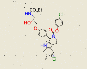 C=C/C(Cl)=C\c1c(C)[nH]c2c1CCN(C(=O)Oc1ccc(Cl)cc1)C2c1ccc(OCC(O)CNC(=O)OCC)cc1